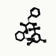 O=C(N[C@@H]1CCCC[C@H]1C(=O)O)[C@H](Cc1ccccc1)NS(=O)(=O)c1cc(Cl)cc(Cl)c1